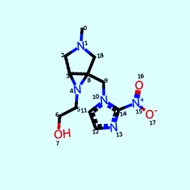 CN1CC2N(CCO)C2(Cn2ccnc2[N+](=O)[O-])C1